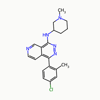 Cc1cc(Cl)ccc1-c1nnc(NC2CCCN(C)C2)c2cnccc12